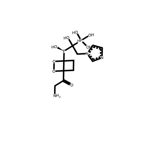 NCC(=O)C12CCC1([P@@](O)C(O)(Cn1ccnc1)[PH](O)(O)O)OO2